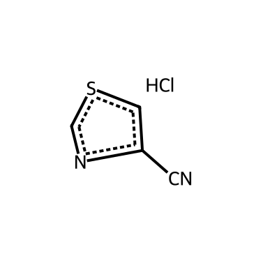 Cl.N#Cc1cscn1